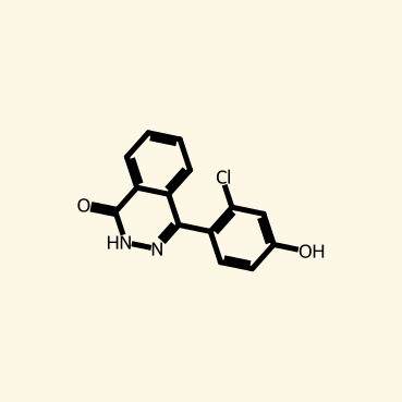 O=c1[nH]nc(-c2ccc(O)cc2Cl)c2ccccc12